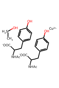 CC(=O)NC(Cc1ccc(O)cc1)C(=O)[O-].CC(=O)NC(Cc1ccc(O)cc1)C(=O)[O-].C[SiH2]O.[Cu+2]